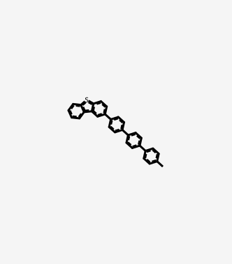 Cc1ccc(-c2ccc(-c3ccc(-c4ccc5sc6ccccc6c5c4)cc3)cc2)cc1